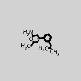 CCC(=O)C[C@@H](CCN)c1cccc(CC(C)C)c1